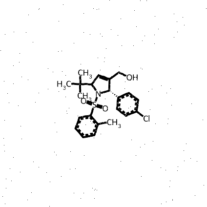 Cc1ccccc1S(=O)(=O)N1C(C(C)(C)C)C=C(CO)[C@@H]1c1ccc(Cl)cc1